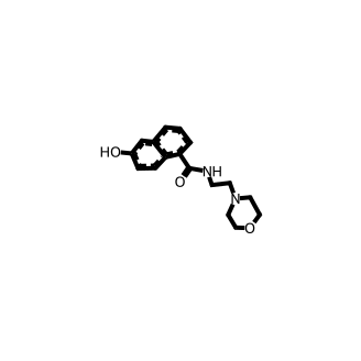 O=C(NCCN1CCOCC1)c1cccc2cc(O)ccc12